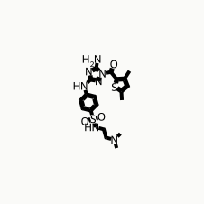 Cc1cc(C)c(C(=O)n2nc(Nc3ccc(S(=O)(=O)NCCN(C)C)cc3)nc2N)s1